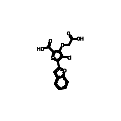 O=C(O)COc1c(C(=O)O)sc(-c2cc3ccccc3o2)c1Cl